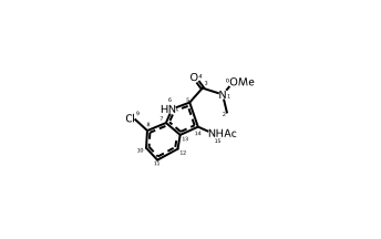 CON(C)C(=O)c1[nH]c2c(Cl)cccc2c1NC(C)=O